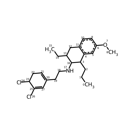 CCCC1c2cc(OC)ccc2CC(CC)C1NCCC1=CCC(Cl)C(Cl)=C1